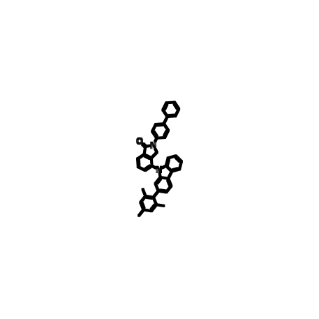 Cc1cc(C)c(-c2ccc3c4ccccc4n(-c4cccc5c4CN(c4ccc(-c6ccccc6)cc4)C5=O)c3c2)c(C)c1